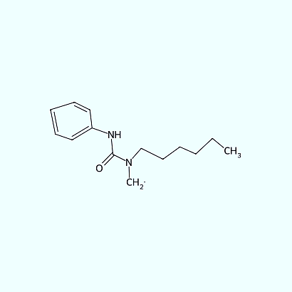 [CH2]N(CCCCCC)C(=O)Nc1ccccc1